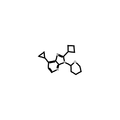 c1cc(C2CC2)c2nc(C3CCC3)n(C3CCCCO3)c2n1